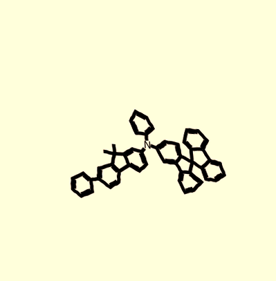 CC1(C)c2cc(-c3ccccc3)ccc2-c2ccc(N(c3ccccc3)c3ccc4c(c3)-c3ccccc3C43c4ccccc4-c4ccccc43)cc21